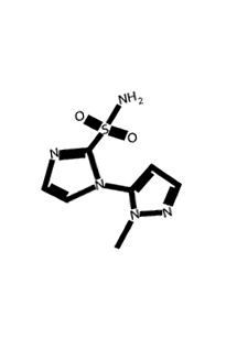 Cn1nccc1-n1ccnc1S(N)(=O)=O